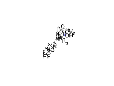 C/C(O)=C(/C)N(C)c1nc(NCc2ccc(Oc3cc(C(F)(F)F)nn3C3CC3)nc2)nc2c1N(C=O)CCC2